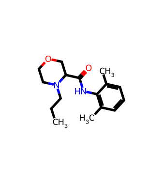 CCCN1CCOCC1C(=O)Nc1c(C)cccc1C